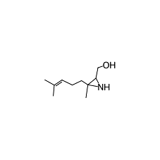 CC(C)=CCCC1(C)NC1CO